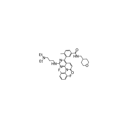 CCN(CC)CCCNc1nc(-c2cc(C(=O)NCC3CCOCC3)ccc2C)c2ccc(=O)n(-c3c(F)cccc3F)c2n1